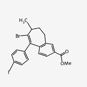 COC(=O)c1ccc2c(c1)CCC(C)C(Br)=C2c1ccc(I)cc1